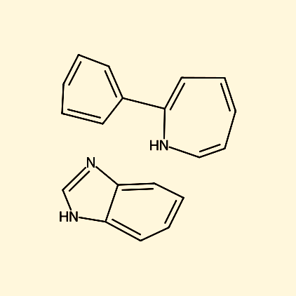 C1=CC=C(c2ccccc2)NC=C1.c1ccc2[nH]cnc2c1